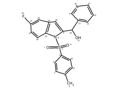 Cc1ccc(S(=O)(=O)n2c(C(O)c3cccnc3)cc3cc(F)ccc32)cc1